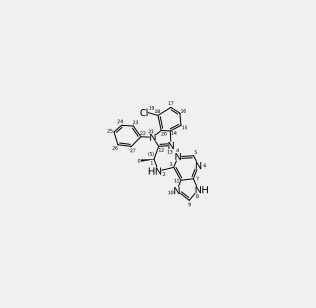 C[C@H](Nc1ncnc2[nH]cnc12)c1nc2cccc(Cl)c2n1-c1ccccc1